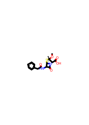 CO[C@@]1(C)SC2C(NC(=O)Cc3ccccc3)C(=O)N2C1C(=O)O